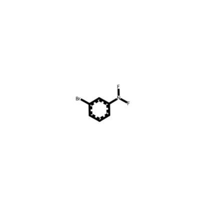 FN(F)c1cccc(Br)c1